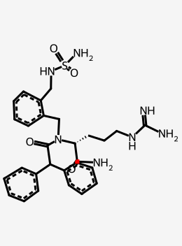 N=C(N)NCCC[C@H](C(N)=O)N(Cc1ccccc1CNS(N)(=O)=O)C(=O)C(c1ccccc1)c1ccccc1